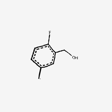 [CH2]c1ccc(F)c(CO)c1